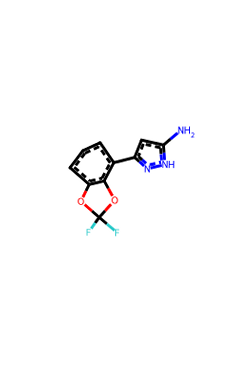 Nc1cc(-c2cccc3c2OC(F)(F)O3)n[nH]1